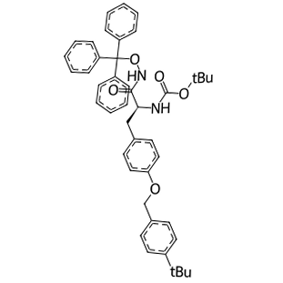 CC(C)(C)OC(=O)N[C@@H](Cc1ccc(OCc2ccc(C(C)(C)C)cc2)cc1)C(=O)NOC(c1ccccc1)(c1ccccc1)c1ccccc1